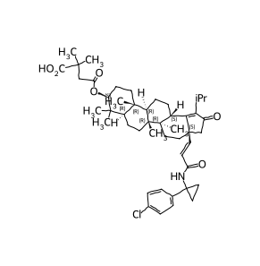 CC(C)C1=C2[C@H]3CC[C@@H]4[C@@]5(C)CC[C@H](OC(=O)CC(C)(C)C(=O)O)C(C)(C)[C@@H]5CC[C@@]4(C)[C@]3(C)CC[C@@]2(C=CC(=O)NC2(c3ccc(Cl)cc3)CC2)CC1=O